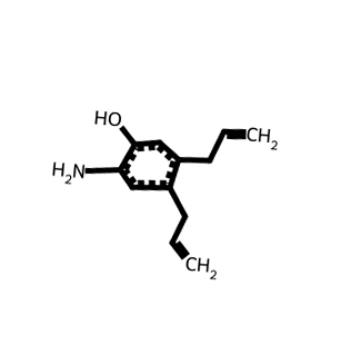 C=CCc1cc(N)c(O)cc1CC=C